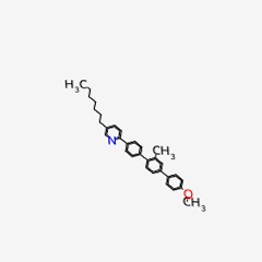 CCCCCCCc1ccc(-c2ccc(-c3ccc(-c4ccc(OC)cc4)cc3C)cc2)nc1